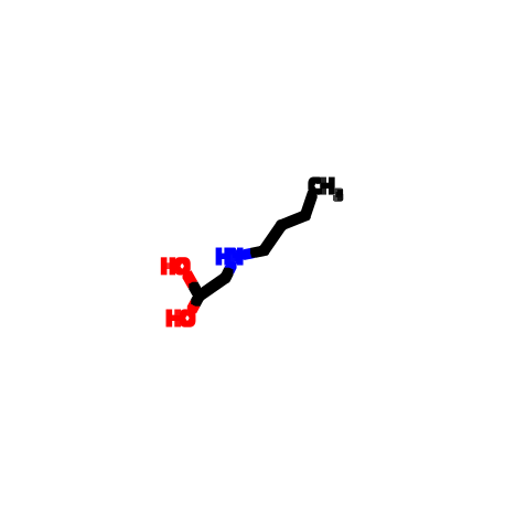 CCCCNCC(O)O